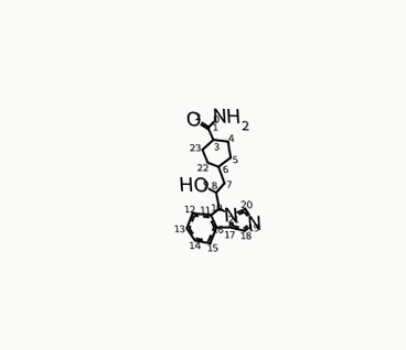 NC(=O)C1CCC(CC(O)C2c3ccccc3-c3cncn32)CC1